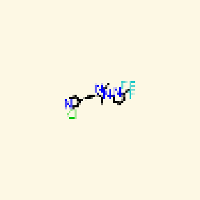 Cc1nc(C#Cc2ccnc(Cl)c2)c(C)n1-c1cccc(C(F)(F)F)n1